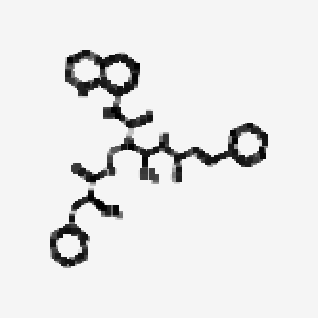 CC(NC(=O)/C=C/c1ccccc1)N(COC(=O)[C@@H](N)Cc1ccccc1)C(=S)Nc1cccc2cccnc12